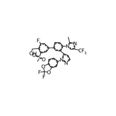 Cc1nc(C(F)(F)F)cn1-c1ccc(-c2cc(F)c(CO)c(S(C)(=O)=O)c2)cc1-c1ccnn1-c1ccc2c(c1)OC(F)(F)O2